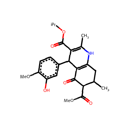 COC(=O)C1C(=O)C2=C(CC1C)NC(C)=C(C(=O)OC(C)C)C2c1ccc(OC)c(O)c1